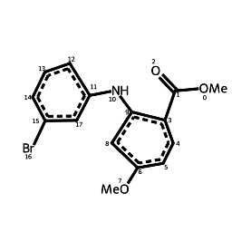 COC(=O)c1ccc(OC)cc1Nc1cccc(Br)c1